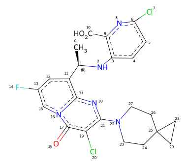 C[C@@H](Nc1ccc(Cl)nc1C(=O)O)c1cc(F)cn2c(=O)c(Cl)c(N3CCC4(CC3)CC4)nc12